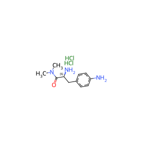 CN(C)C(=O)[C@@H](N)Cc1ccc(N)cc1.Cl.Cl